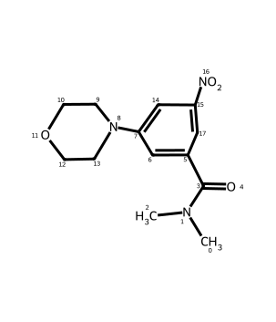 CN(C)C(=O)c1cc(N2CCOCC2)cc([N+](=O)[O-])c1